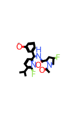 COc1cccc(C(NC(=O)C2CC(F)CN2C(C)=O)c2ccc(C(C)C)c(F)n2)c1